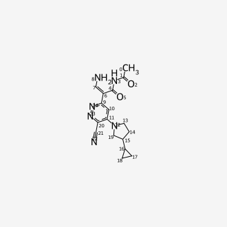 CC(=O)NC(=O)/C(=C\N)c1cc(N2CCC(C3CC3)C2)c(C#N)nn1